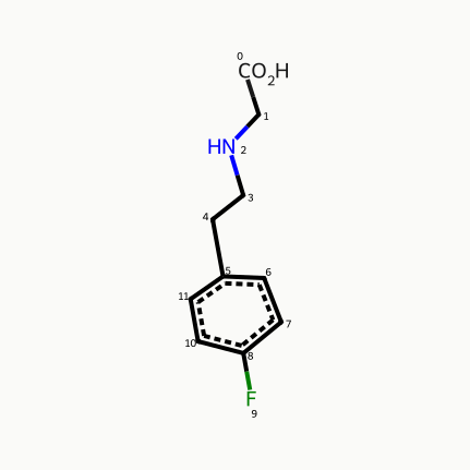 O=C(O)CNCCc1ccc(F)cc1